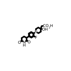 O=C(O)CC1(O)CCN(c2ccc(C3CCC(=O)NC3=O)cc2F)CC1